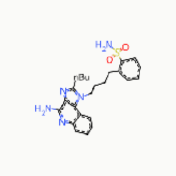 CCCCc1nc2c(N)nc3ccccc3c2n1CCCCc1ccccc1S(N)(=O)=O